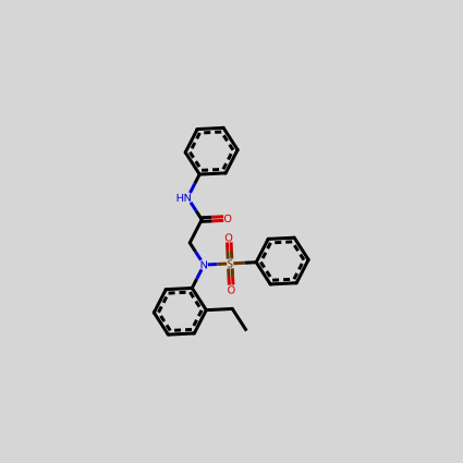 CCc1ccccc1N(CC(=O)Nc1ccccc1)S(=O)(=O)c1ccccc1